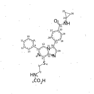 O=C(O)NCCSc1nc(-c2ccccc2)cn2c(-c3ccc(C(=O)NC4CC4)cc3)cnc12